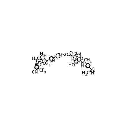 Cc1ncsc1-c1ccc([C@H](C)NC(=O)[C@@H]2C[C@@H](O)CN2C(=O)[C@@H](NC(=O)COCCN2CCN(c3ccc(C(=O)N[C@H]4C(C)(C)[C@H](Oc5ccc(C#N)c(C(F)(F)F)c5)C4(C)C)nn3)CC2)C(C)(C)C)cc1